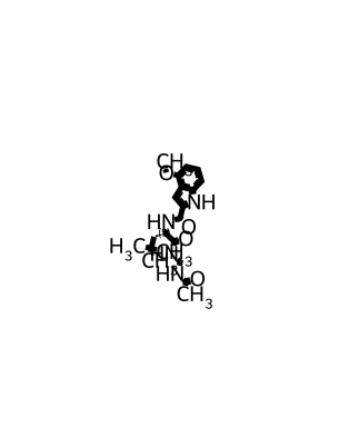 COc1cccc2[nH]c(C(=O)N[C@@H](CC(C)(C)C)C(=O)NCNC(C)=O)cc12